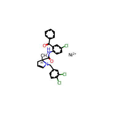 C[C@]1(C(=O)Nc2ccc(Cl)cc2C(=O)c2ccccc2)CC=CN1Cc1ccc(Cl)c(Cl)c1.[Ni+2]